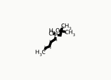 CCCCCP(Cl)CC(C)(C)C